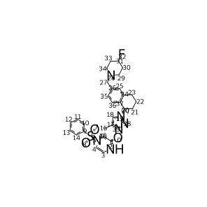 O=C1NC=CN(S(=O)(=O)c2ccccc2)[C@@H]1Cc1cn([C@@H]2CCCc3cc(CN4CCC(F)CC4)ccc32)nn1